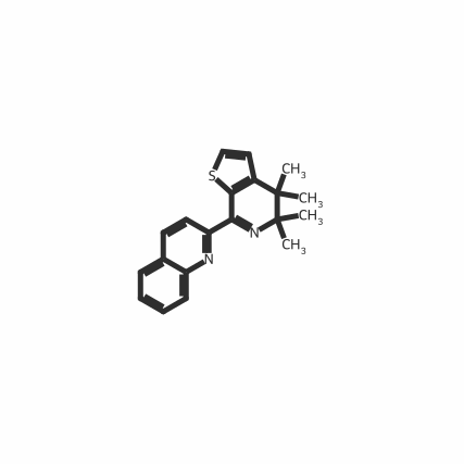 CC1(C)N=C(c2ccc3ccccc3n2)c2sccc2C1(C)C